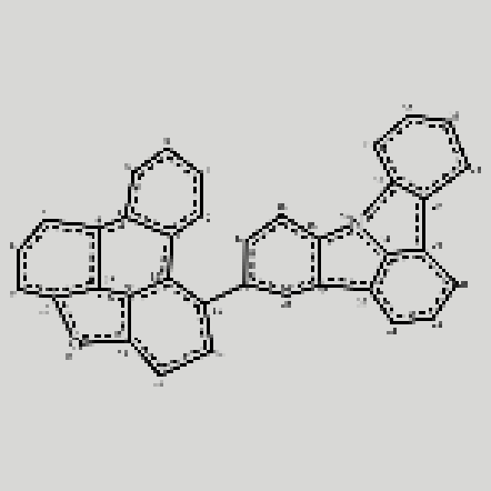 c1ccc2c(c1)c1cccc3oc4ccc(-c5ccc6c(c5)c5cccc7c8ccccc8n6c75)c2c4c31